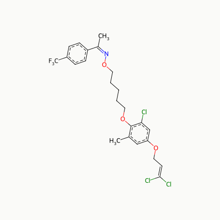 CC(=NOCCCCCOc1c(C)cc(OCC=C(Cl)Cl)cc1Cl)c1ccc(C(F)(F)F)cc1